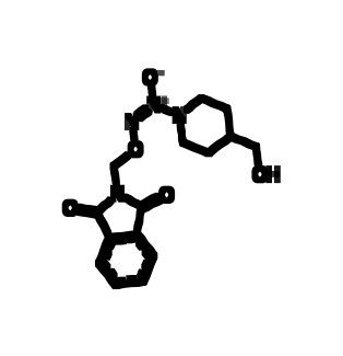 O=C1c2ccccc2C(=O)N1CO/N=[N+](/[O-])N1CCC(CO)CC1